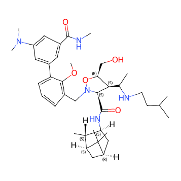 CNC(=O)c1cc(-c2cccc(CN3O[C@@H](CO)[C@@H](C(C)NCCC(C)C)[C@H]3C(=O)N[C@H]3C[C@H]4C[C@@H]([C@@H]3C)C4(C)C)c2OC)cc(N(C)C)c1